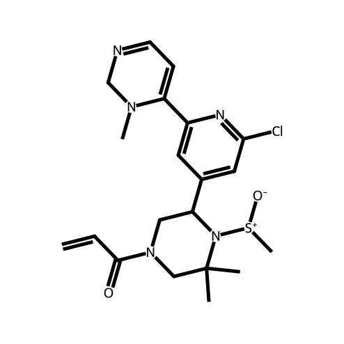 C=CC(=O)N1CC(c2cc(Cl)nc(C3=CC=NCN3C)c2)N([S+](C)[O-])C(C)(C)C1